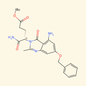 Cc1nc2cc(OCc3ccccc3)cc(N)c2c(=O)n1[C@@H](CCC(=O)OC(C)(C)C)C(N)=O